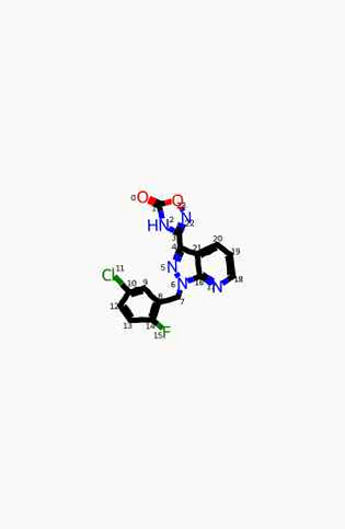 O=c1[nH]c(-c2nn(Cc3cc(Cl)ccc3F)c3ncccc23)no1